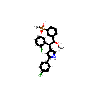 CS(=O)(=O)c1cccc(C(OC=O)C(c2c[nH]c(-c3ccc(Cl)cc3)c2)c2ccccc2F)c1